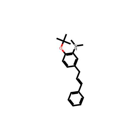 C[SiH](C)c1cc(CC=Cc2ccccc2)ccc1OC(C)(C)C